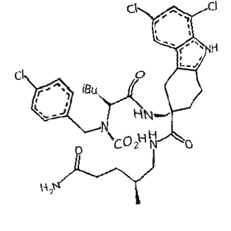 CC[C@H](C)C(C(=O)N[C@]1(C(=O)NC[C@@H](C)CCC(N)=O)CCc2[nH]c3c(Cl)cc(Cl)cc3c2C1)N(Cc1ccc(Cl)cc1)C(=O)O